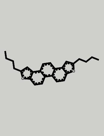 CCCCc1cc2c(ccc3c2ccc2c4cc(CCCC)oc4ccc23)o1